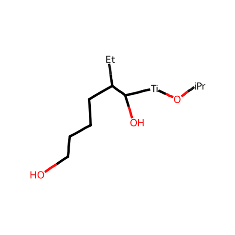 CCC(CCCCO)[CH](O)[Ti][O]C(C)C